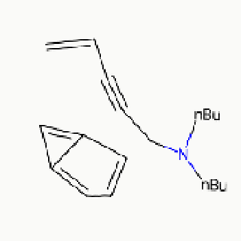 C=CC#CCN(CCCC)CCCC.c1cc2cc-2c1